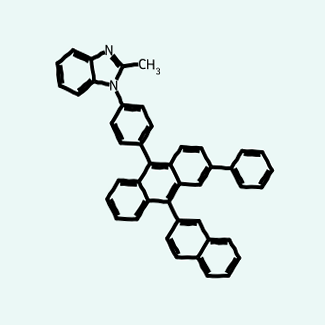 Cc1nc2ccccc2n1-c1ccc(-c2c3ccccc3c(-c3ccc4ccccc4c3)c3cc(-c4ccccc4)ccc23)cc1